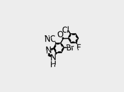 N#Cc1c(C(=O)c2cc(F)ccc2Cl)c(Br)cc2[nH]cnc12